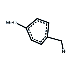 COc1ccc(C[N])cc1